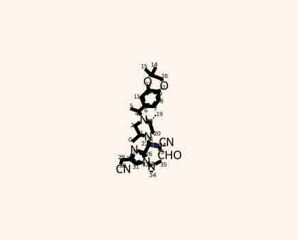 CC1CN(C(C)c2ccc3c(c2)OC(C)(C)CO3)[C@H](C)CN1/C(=C(\C#N)C=O)c1nc(CC#N)cn1N(C)C